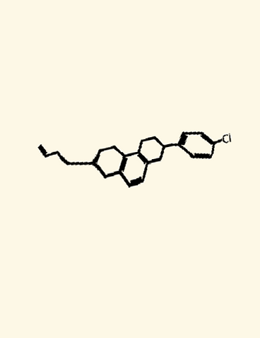 C=CCCC1CCc2c(ccc3c2CCC(c2ccc(Cl)cc2)C3)C1